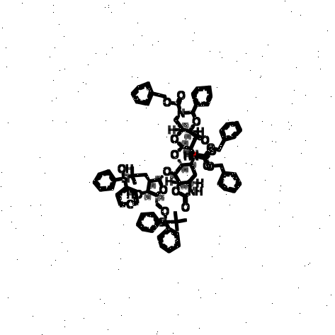 CC(C)(C[C@H]1[C@H](O[C@@H]2[C@H]3OC(=O)N[C@@H]3C[C@H](NC(=O)OCc3ccccc3)[C@H]2O[C@H]2O[C@@H]3CN(C(=O)OCc4ccccc4)C(c4ccccc4)O[C@H]3C(=O)[C@H]2NC(=O)OCc2ccccc2)O[C@H](CO[Si](c2ccccc2)(c2ccccc2)C(C)(C)C)[C@H]1O)[Si](O)(c1ccccc1)c1ccccc1